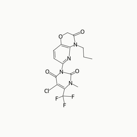 CCCN1C(=O)COc2ccc(-n3c(=O)c(Cl)c(C(F)(F)F)n(C)c3=O)nc21